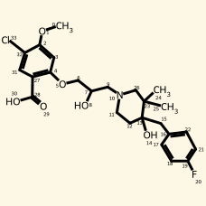 COc1cc(OCC(O)CN2CCC(O)(Cc3ccc(F)cc3)C(C)(C)C2)c(C(=O)O)cc1Cl